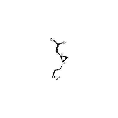 O=C(O)CC[C@H]1C[C@@H]1C=C(Br)Br